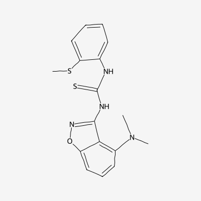 CSc1ccccc1NC(=S)Nc1noc2cccc(N(C)C)c12